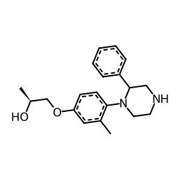 Cc1cc(OC[C@H](C)O)ccc1N1CCNCC1c1ccccc1